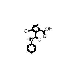 O=C(O)c1scc(Cl)c1C(=O)Nc1ccccc1